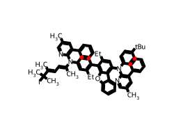 CCc1cc(N(/C(C)=C/C=C(\C)C(C)(C)I)c2ncc(C)cc2-c2ccccc2)ccc1-c1c(CC)cc(N(c2ccc(C(C)(C)C)cc2)c2ncc(C)cc2-c2ccccc2)c2c1oc1ccccc12